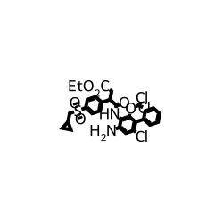 CCOC(=O)CC(C(=O)Nc1c(N)cc(Cl)c(-c2ccccc2)c1OC(Cl)Cl)c1ccc(S(=O)(=O)CC2CC2)cc1